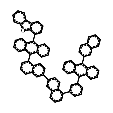 c1cc(-c2cccc3cc(-c4ccc5c(-c6c7ccccc7c(-c7cccc8c7oc7ccccc78)c7ccccc67)cccc5c4)ccc23)cc(-c2c3ccccc3c(-c3ccc4ccccc4c3)c3ccccc23)c1